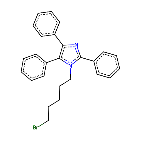 BrCCCCCn1c(-c2ccccc2)nc(-c2ccccc2)c1-c1ccccc1